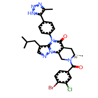 Cc1nn[nH]c1-c1ccc(-n2c(=O)c3c(n4ncc(CC(C)C)c24)CN(C(=O)c2ccc(Br)c(Cl)c2)[C@@H](C)C3)cc1